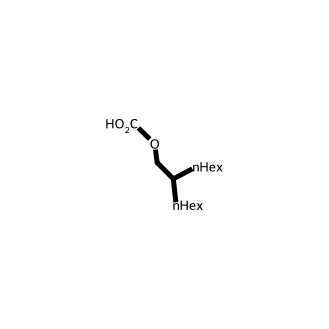 CCCCCCC(CCCCCC)COC(=O)O